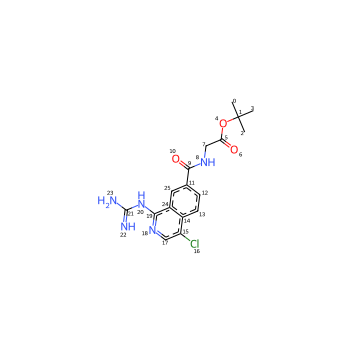 CC(C)(C)OC(=O)CNC(=O)c1ccc2c(Cl)cnc(NC(=N)N)c2c1